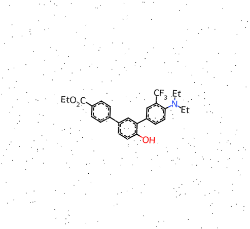 CCOC(=O)c1ccc(-c2ccc(O)c(-c3ccc(N(CC)CC)c(C(F)(F)F)c3)c2)cc1